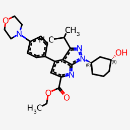 CCOC(=O)c1cc(-c2ccc(N3CCOCC3)cc2)c2c(C(C)C)nn([C@@H]3CCC[C@@H](O)C3)c2n1